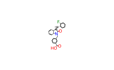 O=C(O)c1cccc(CN2C(=O)[C@@]3(C[C@@H]3c3ccccc3F)C3C=CC=CC32)c1